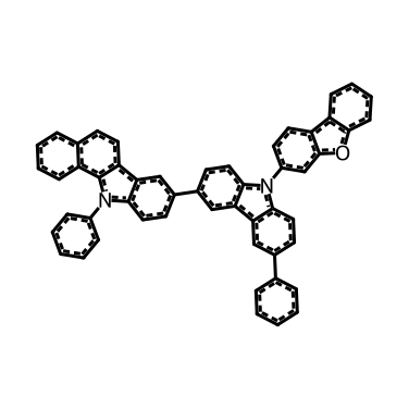 c1ccc(-c2ccc3c(c2)c2cc(-c4ccc5c(c4)c4ccc6ccccc6c4n5-c4ccccc4)ccc2n3-c2ccc3c(c2)oc2ccccc23)cc1